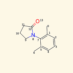 Cc1cccc(C)c1N1CCCC1=O